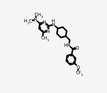 Cc1cc(N(C)C)nc(NC2CCC(CNC(=O)c3cccc(OC(F)(F)F)c3)CC2)n1